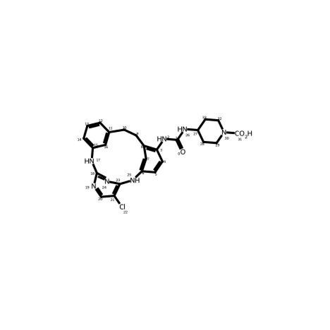 O=C(Nc1ccc2cc1CCc1cccc(c1)Nc1ncc(Cl)c(n1)N2)NC1CCN(C(=O)O)CC1